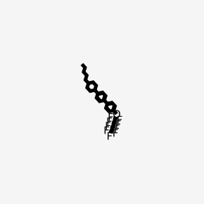 CCCCCC1CCC(c2ccc(-c3ccc(OC(F)(F)C(F)(F)C(F)(F)C(F)(F)F)cc3)cc2)CC1